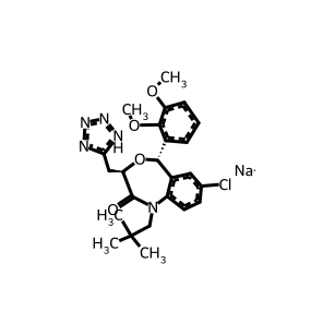 COc1cccc([C@H]2O[C@H](Cc3nnn[nH]3)C(=O)N(CC(C)(C)C)c3ccc(Cl)cc32)c1OC.[Na]